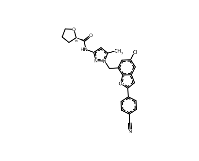 Cc1cc(NC(=O)[C@H]2CCCO2)nn1Cc1cc(Cl)cc2cc(-c3ccc(C#N)cc3)oc12